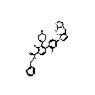 O=C(OCc1ccccc1)c1ccc(-c2ccc(N3C=CN(CN4CCOC4=O)N3)cc2F)c(N2CCNCC2)c1F